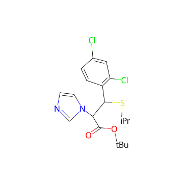 CC(C)SC(c1ccc(Cl)cc1Cl)C(C(=O)OC(C)(C)C)n1ccnc1